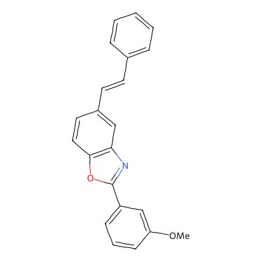 COc1cccc(-c2nc3cc(C=Cc4ccccc4)ccc3o2)c1